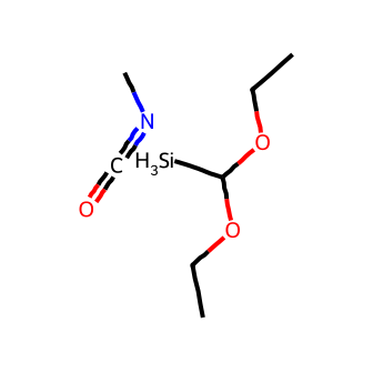 CCOC([SiH3])OCC.CN=C=O